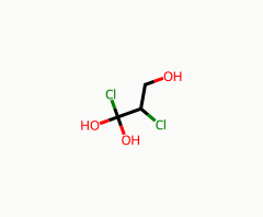 OCC(Cl)C(O)(O)Cl